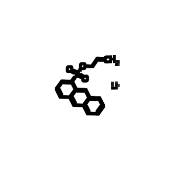 C=CCOS(=O)(=O)c1cccc2cc3ccccc3cc12.[Li]